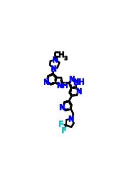 CN1CCN(c2cncc3[nH]c(-c4n[nH]c5ncc(-c6cncc(CN7CCC(F)(F)C7)c6)cc45)cc23)CC1